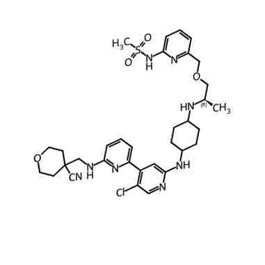 C[C@H](COCc1cccc(NS(C)(=O)=O)n1)NC1CCC(Nc2cc(-c3cccc(NCC4(C#N)CCOCC4)n3)c(Cl)cn2)CC1